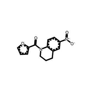 O=C(c1ccco1)N1CCCc2cc([N+](=O)[O-])ccc21